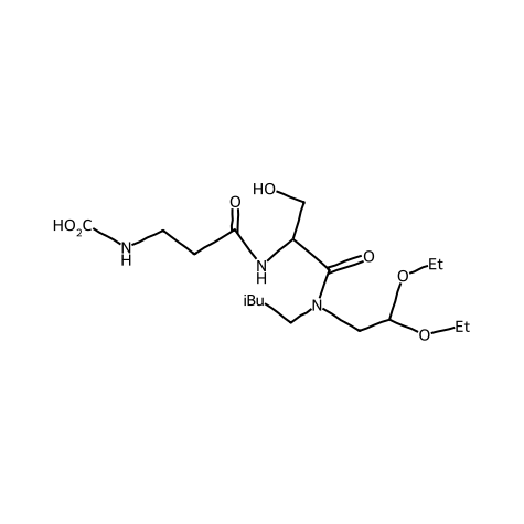 CCOC(CN(CC(C)CC)C(=O)C(CO)NC(=O)CCNC(=O)O)OCC